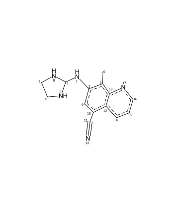 Cc1c(NC2NCCN2)cc(C#N)c2cccnc12